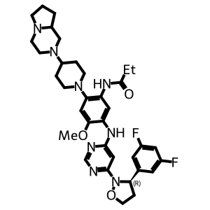 CCC(=O)Nc1cc(Nc2cc(N3OCC[C@@H]3c3cc(F)cc(F)c3)ncn2)c(OC)cc1N1CCC(N2CCN3CCCC3C2)CC1